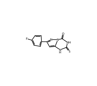 O=c1[nH]c(=S)[nH]c2cc(-c3ccc(F)cc3)nn12